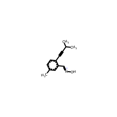 Cc1ccc(C#CC(C)C)c(/C=N/O)c1